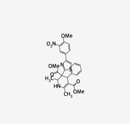 COC(=O)C1=C(C)NC(C)C(C(=O)OC)(c2nc(-c3ccc(OC)c([N+](=O)[O-])c3)cs2)C1c1ccccc1